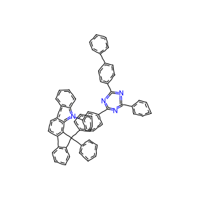 c1ccc(-c2ccc(-c3nc(-c4ccccc4)nc(-c4cccc(-n5c6ccccc6c6ccc7c(c65)C(c5ccccc5)(c5ccccc5)c5ccccc5-7)c4)n3)cc2)cc1